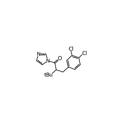 CC(C)(C)C(Cc1ccc(Cl)c(Cl)c1)C(=O)n1ccnc1